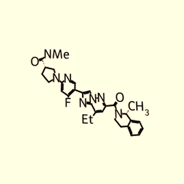 CCc1cc(C(=O)N2CCc3ccccc3[C@H]2C)nn2cc(-c3cnc(N4CC[C@H](C(=O)NC)C4)cc3F)nc12